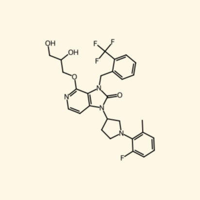 Cc1cccc(F)c1N1CCC(n2c(=O)n(Cc3ccccc3C(F)(F)F)c3c(OCC(O)CO)nccc32)C1